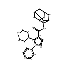 O=C(NC1C2CC3CC(C2)CC1C3)c1cnn(-c2ccccc2)c1N1CCOCC1